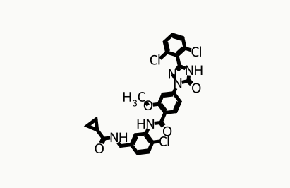 COc1cc(-n2nc(-c3c(Cl)cccc3Cl)[nH]c2=O)ccc1C(=O)Nc1cc(CNC(=O)C2CC2)ccc1Cl